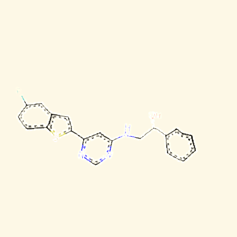 O[C@@H](CNc1cc(-c2cc3cc(F)ccc3s2)ncn1)c1ccccc1